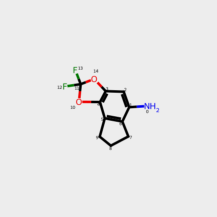 Nc1cc2c(c3c1CCC3)OC(F)(F)O2